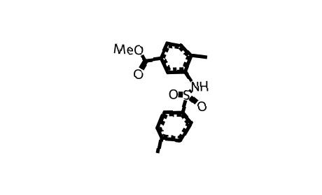 COC(=O)c1ccc(C)c(NS(=O)(=O)c2ccc(C)cc2)c1